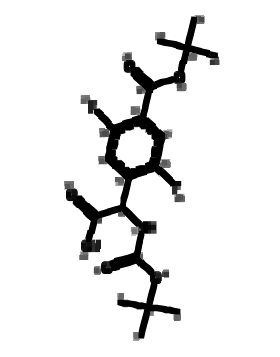 CC(C)(C)OC(=O)NC(C(=O)O)c1cc(F)c(C(=O)OC(C)(C)C)cc1F